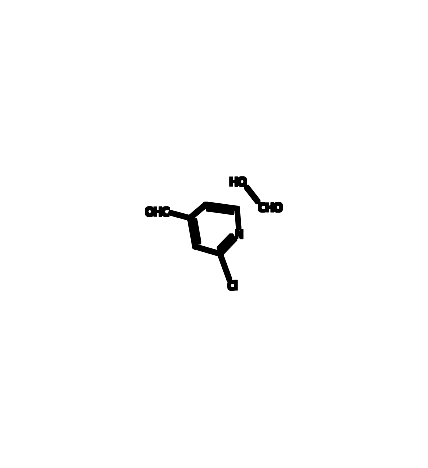 O=CO.O=Cc1ccnc(Cl)c1